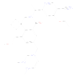 CCOc1cc(C(C)N2CC3(CCC3)c3c(COC)cc(CN(/C=C\NC)CNC)cc3C2=O)ncc1C#N